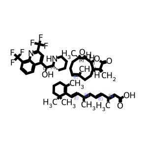 C=C1C(=O)O[C@H]2[C@H]1CC/C(C)=C/CC[C@@]1(C)O[C@@H]21.CC1=C(/C=C/C(C)=C/C=C/C(C)=C/C(=O)O)C(C)(C)CCC1.O[C@@H](c1cc(C(F)(F)F)nc2c(C(F)(F)F)cccc12)[C@H]1CCCCN1